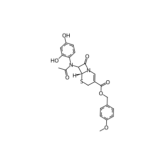 COc1ccc(COC(=O)C2=CN3C(=O)C(N(C(C)=O)c4ccc(O)cc4O)[C@H]3SC2)cc1